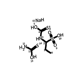 CCC(NC(O)=S)S(=O)(=O)O.NC(O)=S.[NaH]